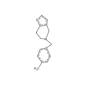 Cc1ccc(CN2CCc3occc3C2)cc1